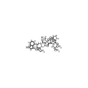 CC[C@@]1(NC(=O)[C@@H]2C=C3c4cccc5[nH]cc(c45)C[C@H]3N(C)C2)O[C@@]2(O)[C@@H]3CCCN3C(=O)[C@@H](CC(C)C)N2C1=O